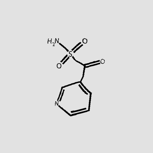 NS(=O)(=O)C(=O)c1cccnc1